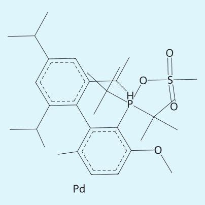 COc1ccc(C)c(-c2c(C(C)C)cc(C(C)C)cc2C(C)C)c1[PH](OS(C)(=O)=O)(C(C)(C)C)C(C)(C)C.[Pd]